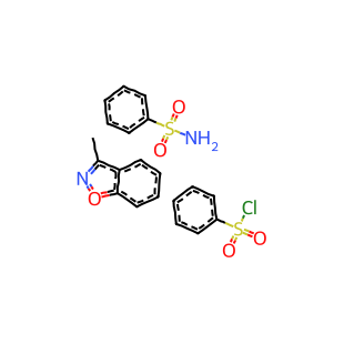 Cc1noc2ccccc12.NS(=O)(=O)c1ccccc1.O=S(=O)(Cl)c1ccccc1